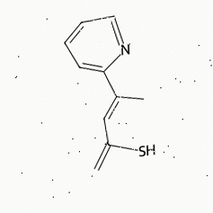 C=C(S)/C=C(\C)c1ccccn1